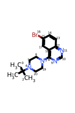 CC(C)(C)N1CCN(c2ncnc3ccc(Br)cc23)CC1